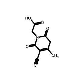 CC1=C(C#N)C(=O)N(CC(=O)O)C(=O)C1